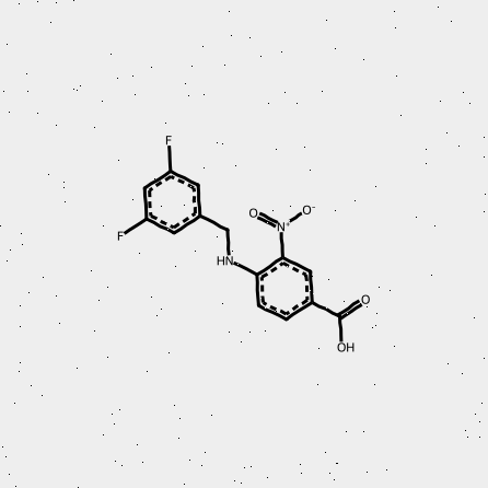 O=C(O)c1ccc(NCc2cc(F)cc(F)c2)c([N+](=O)[O-])c1